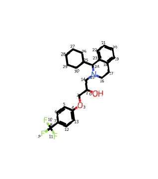 OC(COc1ccc(C(F)(F)F)cc1)CN1CCc2ccccc2C1C1CCCCC1